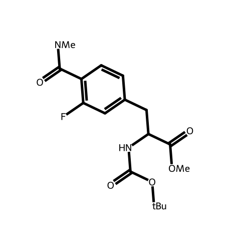 CNC(=O)c1ccc(CC(NC(=O)OC(C)(C)C)C(=O)OC)cc1F